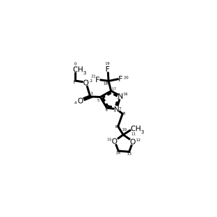 CCOC(=O)c1cn(CCC2(C)OCCO2)nc1C(F)(F)F